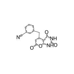 N#Cc1cccc(Cc2cc(=O)oc3[nH]c(=O)[nH]c(=O)c23)c1